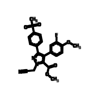 COC(=O)c1c(-c2ccc(OC)c(F)c2)c(-c2ccc(S(C)(=O)=O)cc2)nn1CC#N